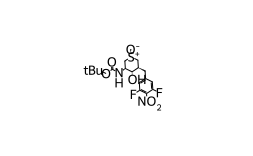 CC(C)(C)OC(=O)N[C@H]1C[S@@+]([O-])C[C@@H](Cc2cc(F)c([N+](=O)[O-])c(F)c2)[C@@H]1O